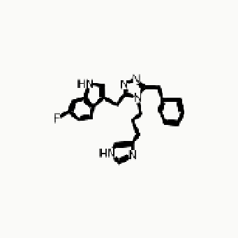 Fc1ccc2c(Cc3nnc(Cc4ccccc4)n3CCCc3c[nH]cn3)c[nH]c2c1